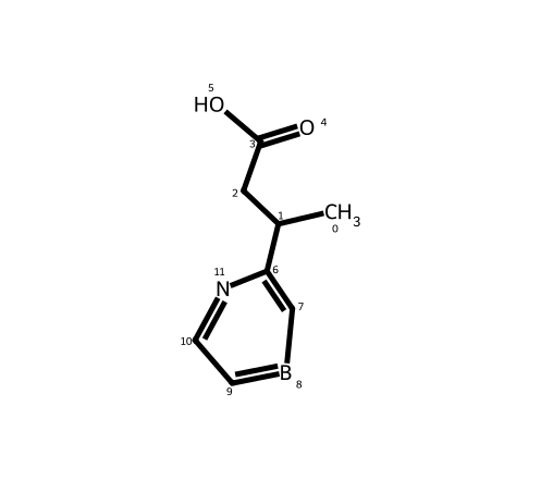 CC(CC(=O)O)c1cbccn1